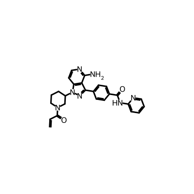 C=CC(=O)N1CCCC(n2nc(-c3ccc(C(=O)Nc4ccccn4)cc3)c3c(N)nccc32)C1